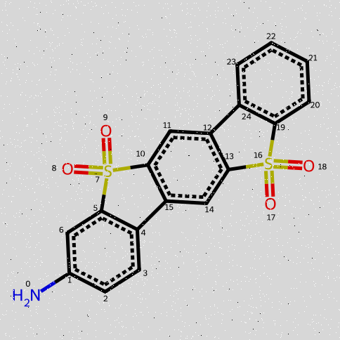 Nc1ccc2c(c1)S(=O)(=O)c1cc3c(cc1-2)S(=O)(=O)c1ccccc1-3